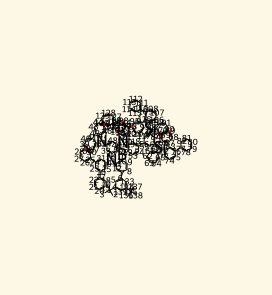 CC(C)(C)c1cc(-c2ccc3c(c2)N(c2cc(-c4ccccc4)cc(-c4ccccc4)c2)c2cc(-n4c5ccccc5c5ccccc54)cc4c2B3c2ccc(-c3cc([Si](c5ccccc5)(c5ccccc5)c5cccc(-c6ccccc6)c5)cc([Si](c5ccccc5)(c5ccc(-c6ccccc6)cc5)c5cccc(-c6ccccc6)c5)c3)cc2N4c2cccc(-c3ccccc3)c2)cc(C(C)(C)C)c1